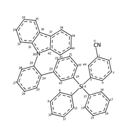 N#Cc1cccc([Si](c2ccccc2)(c2ccccc2)c2cccc(-c3ccccc3-n3c4ccccc4c4ccccc43)c2)c1